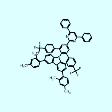 Cc1ccc(-c2ccc3c(c2)c2cc(-c4ccc(C)cc4C)ccc2n3-c2c(-c3ccc(C(F)(F)F)cc3)cc(-c3nc(-c4ccccc4)cc(-c4ccccc4)n3)cc2-c2ccc(C(F)(F)F)cc2)c(C)c1